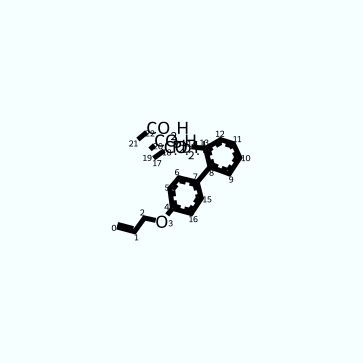 C=CCOc1ccc(-c2cccc[c]2[Pb])cc1.CC(=O)O.CC(=O)O.CC(=O)O